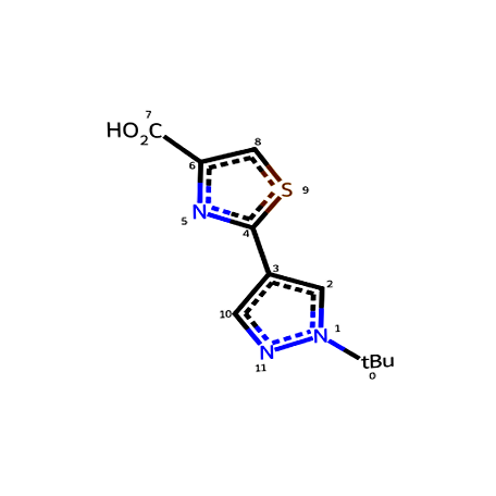 CC(C)(C)n1cc(-c2nc(C(=O)O)cs2)cn1